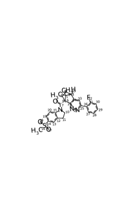 CC1(C)[C@H]2CC[C@]1(C(=O)N1CCc3cc(S(C)(=O)=O)ccc31)c1nnc(-c3ccccc3F)cc12